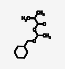 C=C(C)C(=O)OC(C)OCC1CCCCC1